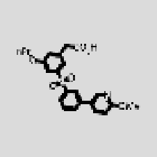 CCCOc1cc(CC(=O)O)cc(S(=O)(=O)c2cccc(-c3ccc(OC)nc3)c2)c1